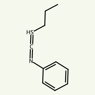 CCC[SH]=C=Nc1ccccc1